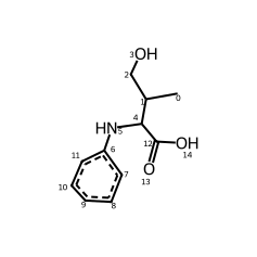 CC(CO)C(Nc1ccccc1)C(=O)O